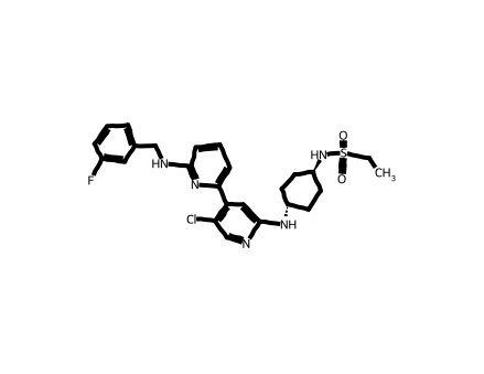 CCS(=O)(=O)N[C@H]1CC[C@H](Nc2cc(-c3cccc(NCc4cccc(F)c4)n3)c(Cl)cn2)CC1